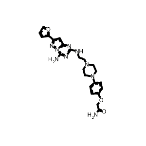 NC(=O)COc1ccc(N2CCN(CCNc3nc(N)n4nc(-c5ccco5)cc4n3)CC2)cc1